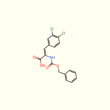 O=C(N/C(=C\c1ccc(Cl)c(Cl)c1)C(=O)O)OCc1ccccc1